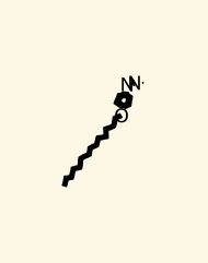 CCCCCCCCCCCCCCOc1ccc(N=[N])cc1